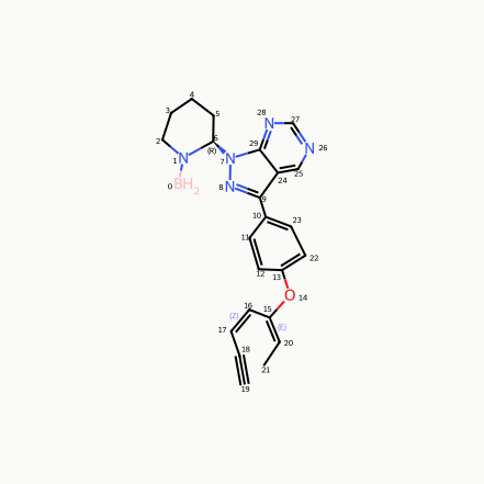 BN1CCCC[C@H]1n1nc(-c2ccc(OC(/C=C\C#C)=C/C)cc2)c2cncnc21